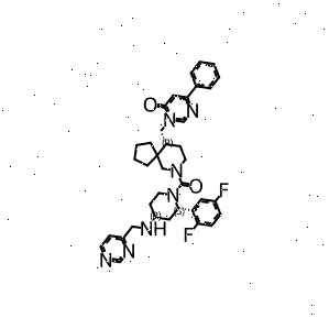 O=C(N1CC[C@@H](Cn2cnc(-c3ccccc3)cc2=O)C2(CCCC2)C1)N1CC[C@@H](NCc2ccncn2)C[C@H]1c1cc(F)ccc1F